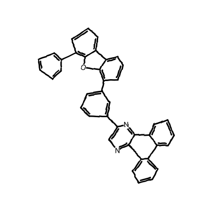 c1ccc(-c2cccc3c2oc2c(-c4cccc(-c5cnc6c7ccccc7c7ccccc7c6n5)c4)cccc23)cc1